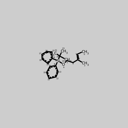 CC=C(C)CCO[Si](c1ccccc1)(c1ccccc1)C(C)(C)C